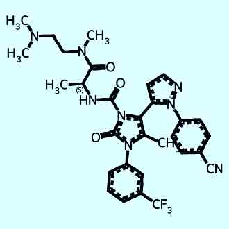 Cc1c(-c2ccnn2-c2ccc(C#N)cc2)n(C(=O)N[C@@H](C)C(=O)N(C)CCN(C)C)c(=O)n1-c1cccc(C(F)(F)F)c1